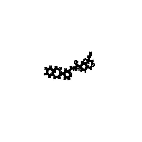 C[C@@]1(C#N)COCc2ccc(C(=O)NCc3cc(N4CCc5ccccc5CC4)ccn3)cc21